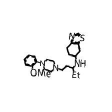 CCC(CCN1CCN(c2ccccc2OC)CC1)NC1CCc2ncsc2C1